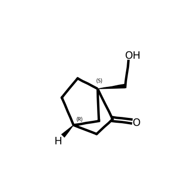 O=C1C[C@@H]2CC[C@@]1(CO)C2